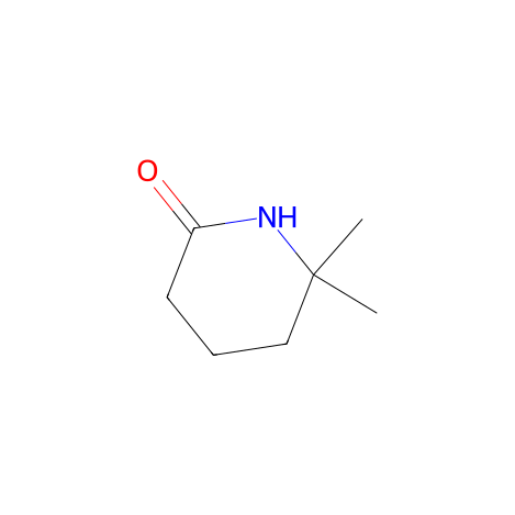 CC1(C)CCCC(=O)N1